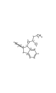 CCC(Cl)OC1C(=[N+]=[N-])Cc2ccccc21